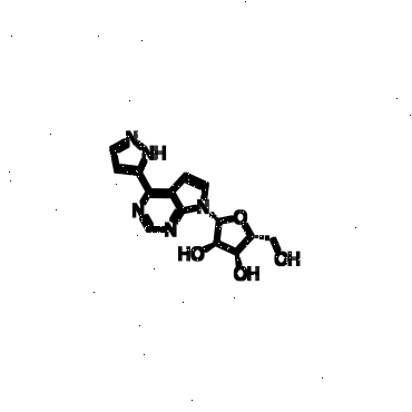 OC[C@H]1O[C@@H](n2ccc3c(-c4ccn[nH]4)ncnc32)[C@H](O)[C@@H]1O